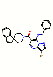 O=C(c1cnc2c(Br)cnn2c1NCc1ccccc1)N1CCC2(C=Cc3ccccc32)CC1